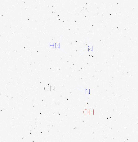 O=N/C(=N\O)C1=NCCN1